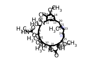 CNC(=O)O[C@H]1CC(O)N(C)c2cc(cc(OC)c2Cl)C/C(C)=C/C=C/[C@@H](OC)[C@@]2(O)C[C@H](OC(=O)N2)[C@@H](C)[C@@H]2O[C@@]12C